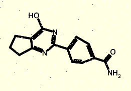 NC(=O)c1ccc(-c2nc(O)c3c(n2)CCC3)cc1